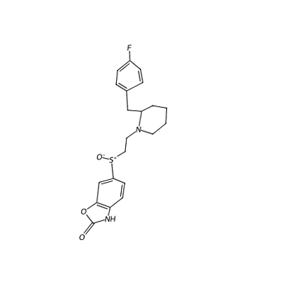 O=c1[nH]c2ccc([S+]([O-])CCN3CCCCC3Cc3ccc(F)cc3)cc2o1